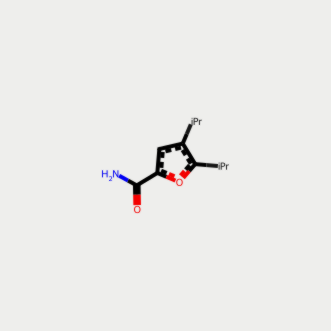 CC(C)c1cc(C(N)=O)oc1C(C)C